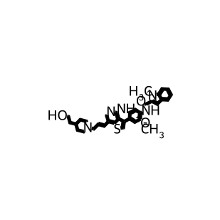 COc1cc(-c2csc3c(C=CCN4CCC(CCO)CC4)cnc(N)c23)ccc1NC(=O)c1cc2ccccc2n1C